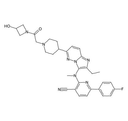 CCc1nc2ccc(C3CCN(CC(=O)N4CC(O)C4)CC3)nn2c1N(C)c1nc(-c2ccc(F)cc2)ccc1C#N